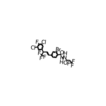 O=C(CC(F)(F)F)NNC(=O)c1ccc(/C=C/C(c2cc(Cl)c(F)c(Cl)c2)C(F)(F)F)cc1Br